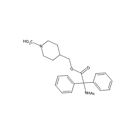 CC(=O)NC(C(=O)OCC1CCN(C(=O)O)CC1)(c1ccccc1)c1ccccc1